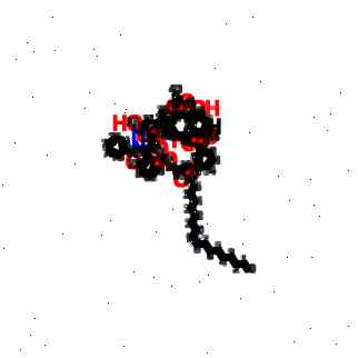 CCCCCCCC/C=C\CCCCCCC[C@@H]1OC[C@H](COC(=O)O[C@@H](C(=O)O[C@@H](CCO)/C(C)=C2/[C@@H](OC(C)=O)C(=O)[C@@]3(C)[C@H]([C@H](OC(=O)c4ccccc4)CC2(C)C)[C@]2(O)CO[C@@H]2C[C@@H]3O)[C@@H](NC(=O)c2ccccc2)c2ccccc2)O1